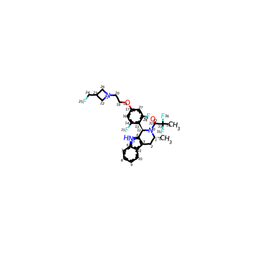 C[C@@H]1Cc2c([nH]c3ccccc23)[C@@H](c2c(F)cc(OCCN3CC(CF)C3)cc2F)N1C(=O)C(C)(F)F